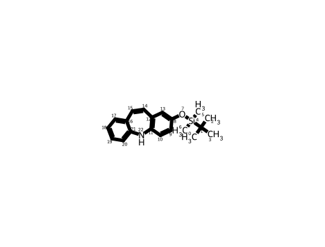 CC(C)(C)[Si](C)(C)Oc1ccc2c(c1)C=Cc1ccccc1N2